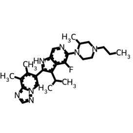 CCCN1CCN(c2ncc3[nH]c(-c4cn5ncnc5c(C)c4C)c(C(C)C)c3c2F)C(C)C1